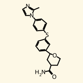 Cc1nccn1-c1ccc(Sc2cccc(C3CC(C(N)=O)CCO3)c2)cc1